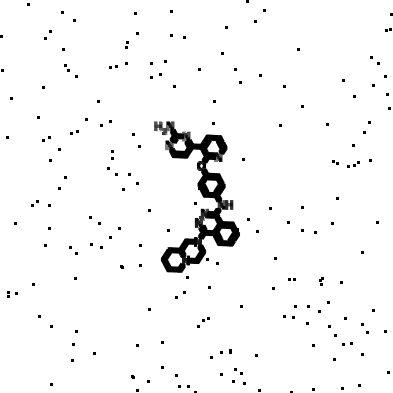 Nc1nccc(-c2cccnc2Oc2ccc(Nc3nnc(N4CCN5CCCCC5C4)c4ccccc34)cc2)n1